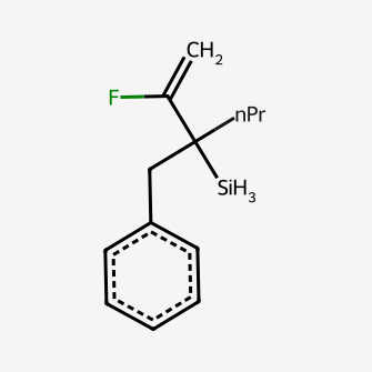 C=C(F)C([SiH3])(CCC)Cc1ccccc1